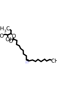 CCCCCCCC/C=C\CCCCCCCC(=O)OC(CC)C(O)CO